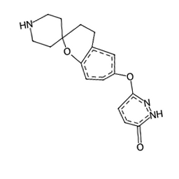 O=c1ccc(Oc2ccc3c(c2)CCC2(CCNCC2)O3)n[nH]1